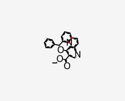 CCOC(=O)c1cnc2cccnc2c1OC(c1ccccc1)c1ccccc1